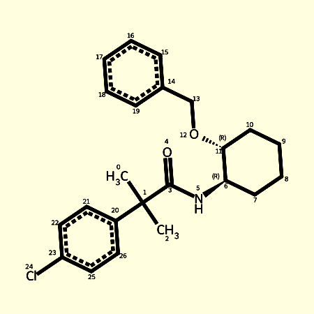 CC(C)(C(=O)N[C@@H]1CCCC[C@H]1OCc1ccccc1)c1ccc(Cl)cc1